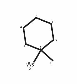 CC1([As])CCCCC1